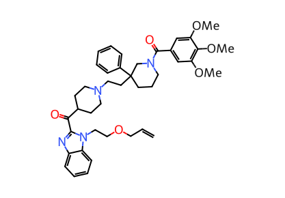 C=CCOCCn1c(C(=O)C2CCN(CCC3(c4ccccc4)CCCN(C(=O)c4cc(OC)c(OC)c(OC)c4)C3)CC2)nc2ccccc21